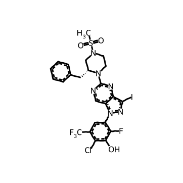 CS(=O)(=O)N1CCN(c2ncc3c(n2)c(I)nn3-c2cc(C(F)(F)F)c(Cl)c(O)c2F)[C@H](Cc2ccccc2)C1